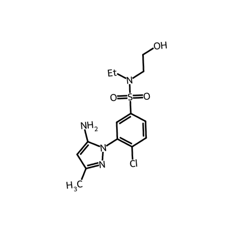 CCN(CCO)S(=O)(=O)c1ccc(Cl)c(-n2nc(C)cc2N)c1